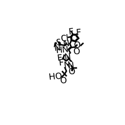 CCOC(=O)C1=C(CN2CC(F)(F)C3C2CN(C(C)=O)N3CCC(C)(C)C(=O)O)NC(c2nccs2)=NC1c1ccc(F)c(F)c1Cl